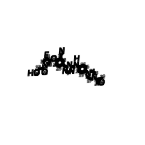 N#Cc1cc(-c2ncnc(Nc3ccc(N4CCN(C5COC5)CC4)cc3)n2)ccc1O[C@H]1CN(C(=O)CO)C[C@@H]1F